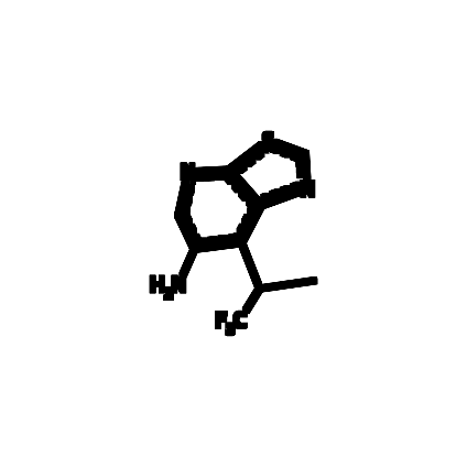 CC(c1c(N)cnc2scnc12)C(F)(F)F